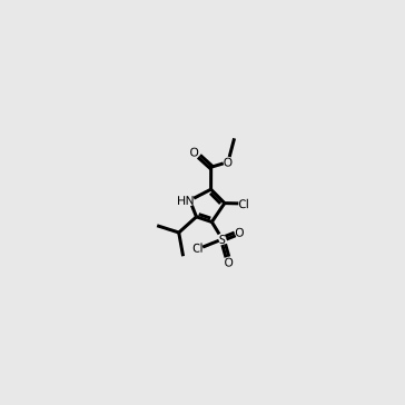 COC(=O)c1[nH]c(C(C)C)c(S(=O)(=O)Cl)c1Cl